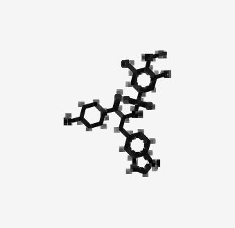 CCNc1c(Cl)cc(S(=O)(=O)NC(Cc2ccc3[nH]cnc3c2)C(=O)N2CCC(CC)CC2)cc1Cl